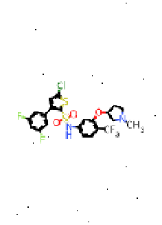 CN1CCC(Oc2cc(NS(=O)(=O)c3sc(Cl)cc3-c3cc(F)cc(F)c3)ccc2C(F)(F)F)C1